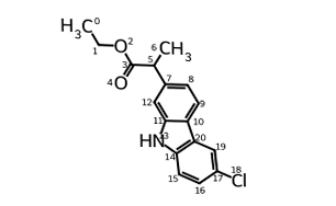 CCOC(=O)C(C)c1ccc2c(c1)[nH]c1ccc(Cl)cc12